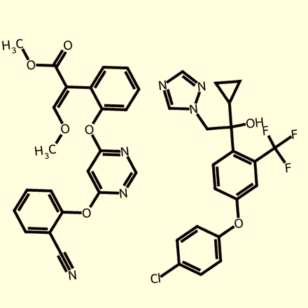 CO/C=C(/C(=O)OC)c1ccccc1Oc1cc(Oc2ccccc2C#N)ncn1.OC(Cn1cncn1)(c1ccc(Oc2ccc(Cl)cc2)cc1C(F)(F)F)C1CC1